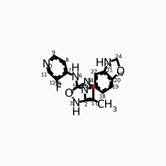 CC1=C2NOC(Nc3ccncc3F)(N=C1)N2c1ccc2c(c1)NCO2